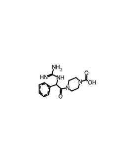 N=C(N)NC(C(=O)N1CCN(C(=O)O)CC1)c1ccccc1